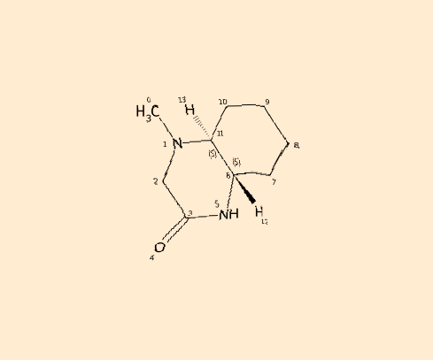 CN1CC(=O)N[C@H]2CCCC[C@@H]21